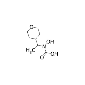 CC(C1CCOCC1)N(O)C(=O)O